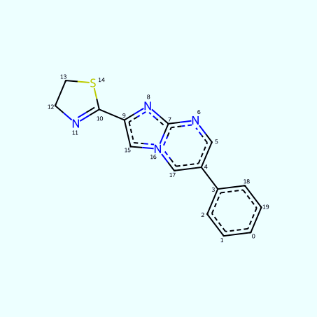 c1ccc(-c2cnc3nc(C4=NCCS4)cn3c2)cc1